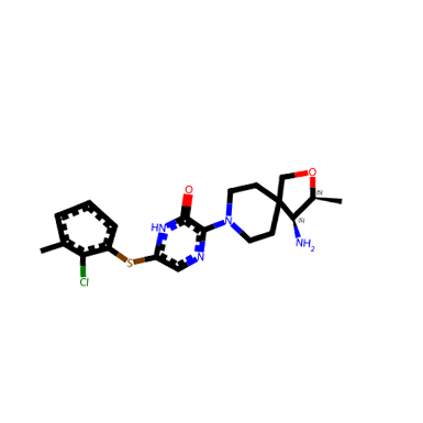 Cc1cccc(Sc2cnc(N3CCC4(CC3)CO[C@@H](C)[C@H]4N)c(=O)[nH]2)c1Cl